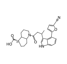 CC(CC(=O)N1CCCC2C1CCC[C@H]2C(=O)O)c1c[nH]c2cccc(-c3ccc(C#N)o3)c12